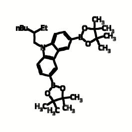 CCCCC(CC)Cn1c2ccc(B3OC(C)(C)C(C)(C)O3)cc2c2cc(B3OC(C)(C)C(C)(C)O3)ccc21